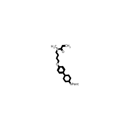 C=CC(=O)N(C)CCCCOc1ccc(C2CCC(CCCCC)CC2)cc1